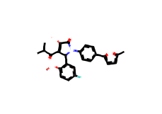 COc1ccc(F)cc1C1C(C(=O)C(C)C)=C(O)C(=O)N1c1ccc(-c2ccc(C)o2)cc1